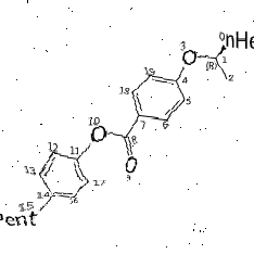 CCCCCC[C@@H](C)Oc1ccc(C(=O)Oc2ccc(CCCCC)cc2)cc1